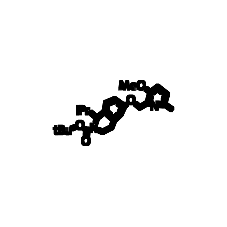 COc1ccc(C)nc1COc1ccc2c(c1)CCN(C(=O)OC(C)(C)C)C2C(C)C